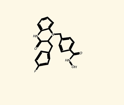 O=C(NO)c1ccc(CN2c3ccccc3NC(=O)C2Cc2ccc(F)cc2)cc1